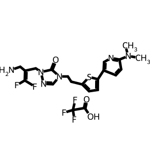 CN(C)c1ccc(-c2ccc(CCn3cnn(CC(CN)=C(F)F)c3=O)s2)cn1.O=C(O)C(F)(F)F